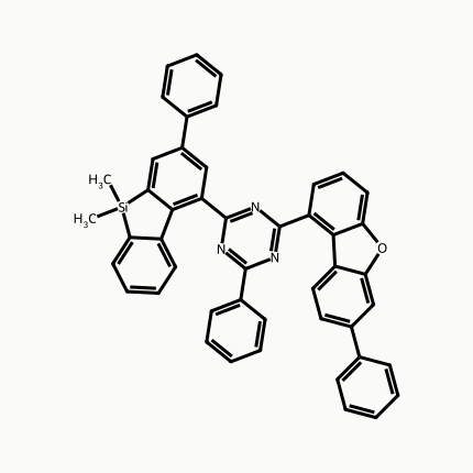 C[Si]1(C)c2ccccc2-c2c(-c3nc(-c4ccccc4)nc(-c4cccc5oc6cc(-c7ccccc7)ccc6c45)n3)cc(-c3ccccc3)cc21